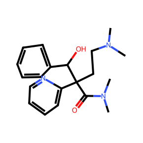 CN(C)CCC(C(=O)N(C)C)(c1ccccn1)C(O)c1ccccc1